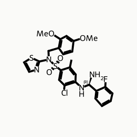 COc1ccc(CN(c2nccs2)S(=O)(=O)c2cc(Cl)c(N[C@@H](N)c3ccccc3F)cc2C)c(OC)c1